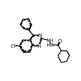 O=C(NNc1nc(-c2ccccc2)c2cc(Cl)ccc2n1)C1CCCCC1